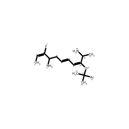 C/C=C(/F)C(N)C/C=C/C=C(/OC(C)(C)C(C)=O)C(C)N